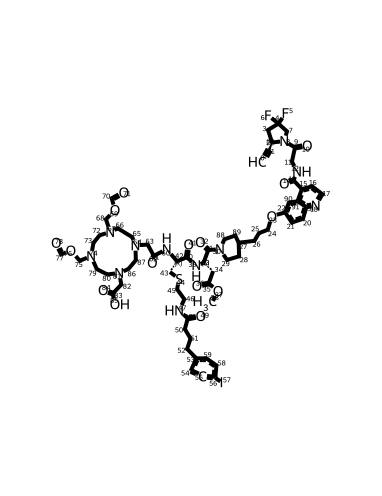 C#C[C@H]1CC(F)(F)CN1C(=O)CNC(=O)c1ccnc2ccc(OCCCC3CCN(C(=O)[C@H](CC(=O)OC)NC(=O)[C@H](CSCCNC(=O)CCCc4ccc(I)cc4)NC(=O)CN4CCN(COC=O)CCN(COC=O)CCN(CC(=O)O)CC4)CC3)cc12